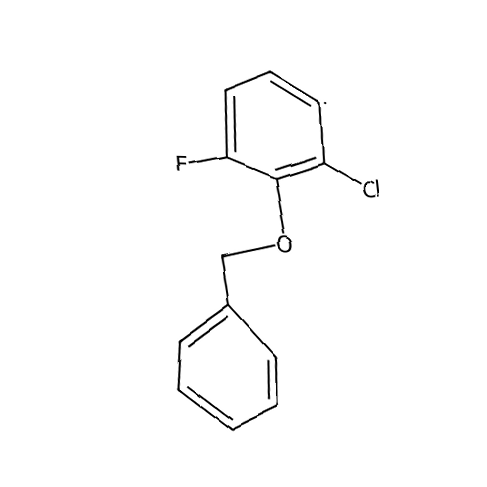 Fc1cc[c]c(Cl)c1OCc1ccccc1